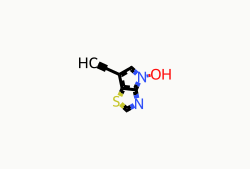 C#Cc1cn(O)c2ncsc12